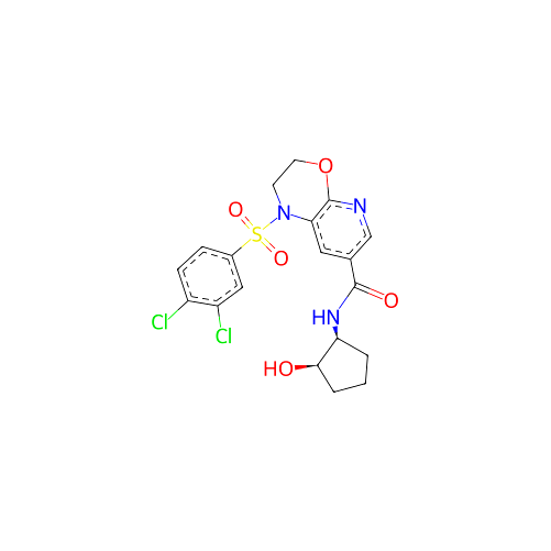 O=C(N[C@H]1CCC[C@H]1O)c1cnc2c(c1)N(S(=O)(=O)c1ccc(Cl)c(Cl)c1)CCO2